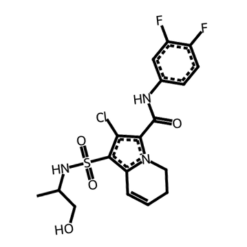 CC(CO)NS(=O)(=O)c1c(Cl)c(C(=O)Nc2ccc(F)c(F)c2)n2c1C=CCC2